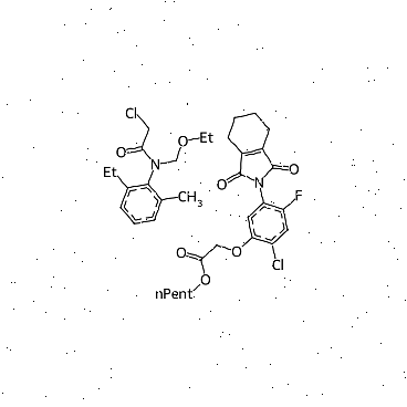 CCCCCOC(=O)COc1cc(N2C(=O)C3=C(CCCC3)C2=O)c(F)cc1Cl.CCOCN(C(=O)CCl)c1c(C)cccc1CC